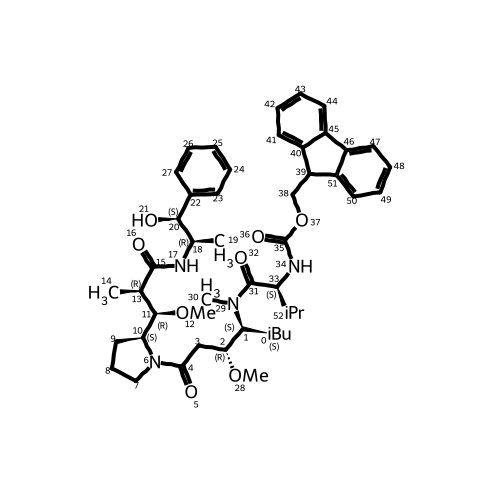 CC[C@H](C)[C@@H]([C@@H](CC(=O)N1CCC[C@H]1[C@H](OC)[C@@H](C)C(=O)N[C@H](C)[C@@H](O)c1ccccc1)OC)N(C)C(=O)[C@@H](NC(=O)OCC1c2ccccc2-c2ccccc21)C(C)C